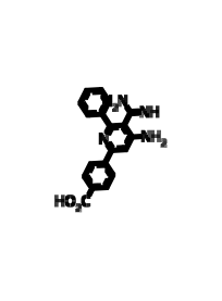 N=C(N)c1c(N)cc(-c2ccc(C(=O)O)cc2)nc1-c1ccccc1